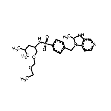 CCOCOCC(CC(C)C)NS(=O)(=O)c1ccc(CN2c3ccncc3NC2C)cc1